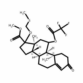 COC(=O)C1(OCSC)CC[C@H]2[C@@H]3CCC4=CC(=O)CC[C@]4(C)[C@@H]3C(OC(=O)C(F)(F)F)C[C@@]21C